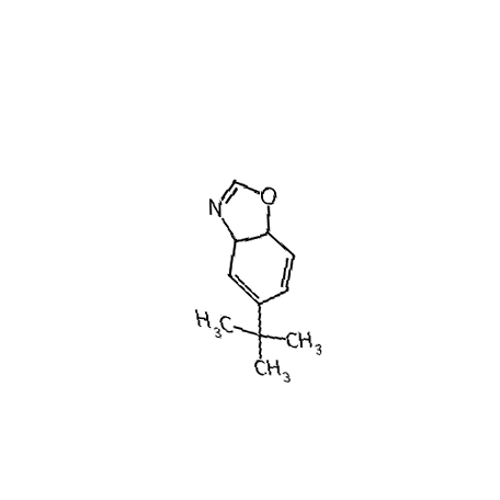 CC(C)(C)C1=CC2N=COC2C=C1